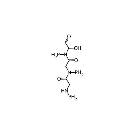 O=CC(O)N(P)C(=O)CN(P)C(=O)CNP